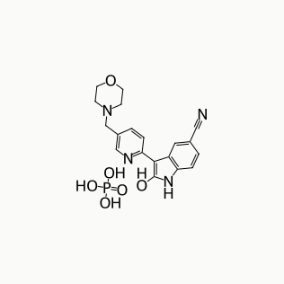 N#Cc1ccc2[nH]c(O)c(-c3ccc(CN4CCOCC4)cn3)c2c1.O=P(O)(O)O